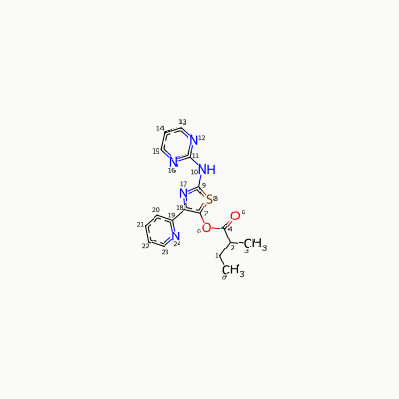 CCC(C)C(=O)Oc1sc(Nc2ncccn2)nc1-c1ccccn1